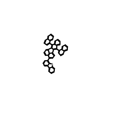 c1ccc2c(-c3c4c(c(-c5cccc6ccccc56)c5ccccc35)-c3ccc(-c5cccc6c5sc5ccccc56)c5cccc-4c35)cccc2c1